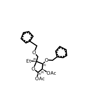 CC[C@]1(COCc2ccccc2)O[C@H](OC(C)=O)[C@H](OC(C)=O)[C@@H]1OCc1ccccc1